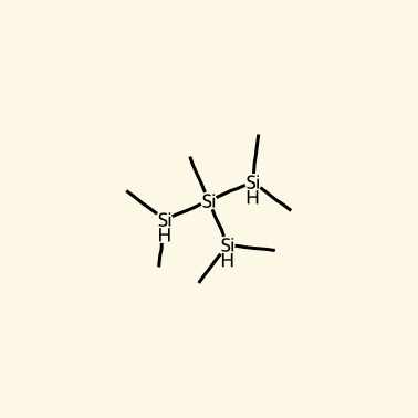 C[SiH](C)[Si](C)([SiH](C)C)[SiH](C)C